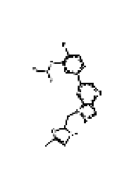 CC1=CNC(Cn2ncc3ncc(-c4ccc(F)c(OC(F)F)c4)cc32)O1